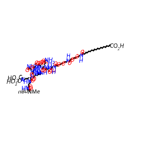 CCCC[C@H](NC(=O)CCNC(=O)[C@H](CCCCN(CC(=O)O)CC(=O)O)NC(=O)[C@H](Cc1c[nH]cn1)NC(=O)[C@H](CCC(N)=O)NC(=O)[C@H](CO)NC(=O)[C@H](CO)NC(=O)[C@H](CCC(N)=O)NC(=O)[C@@H](CO)NC(=O)CNC(=O)COCCOCCNC(=O)COCCOCCNC(=O)CCCCCCCCCCCCCCCCCCC(=O)O)C(=O)NC